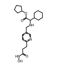 O=C(CCc1ccc(CNC(C(=O)OC2CCCC2)C2CCCCC2)cn1)NO